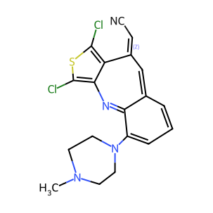 CN1CCN(c2cccc3c2=Nc2c(Cl)sc(Cl)c2/C(=C\C#N)C=3)CC1